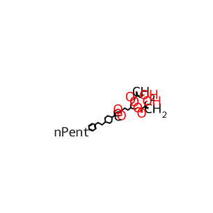 C=C(CO)C(=O)OCC(CCC1OCC(C2CCC(CCc3ccc(CCCCC)cc3)CC2)CO1)COC(=O)C(=C)CO